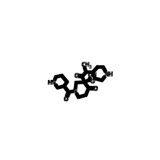 CC(C(=O)C1(C(=O)O)CN(C(=O)C2CCCNC2)CCC1=O)C1CCNCC1